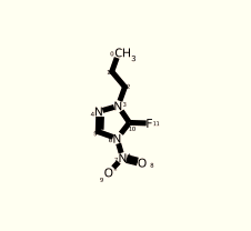 CCCN1N=CN([N+](=O)[O-])C1F